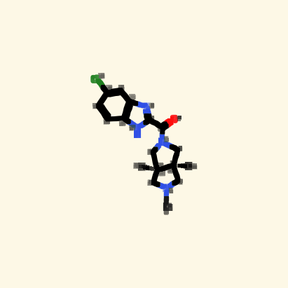 CCN1C[C@@H]2CN(C(=O)c3nc4cc(Cl)ccc4[nH]3)C[C@@H]2C1